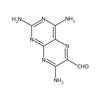 Nc1nc(N)c2nc(C=O)c(N)nc2n1